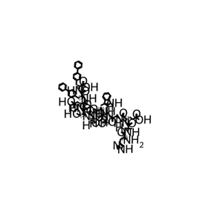 C[C@@H](O)[C@H](NC(=O)CNC(=O)[C@H](CCC(=O)O)NC(=O)C(C)(C)NC(=O)[C@@H](N)Cc1c[nH]cn1)C(=O)N[C@@H](Cc1c[nH]c2ccccc12)C(=O)N[C@H](C(=O)N[C@@H](CO)C(=O)N[C@@H](CC(=O)O)C(=O)N[C@@H](Cc1ccc(-c2ccccc2)cc1)C(=O)N[C@@H](Cc1ccc(-c2ccccc2)cc1)C(=O)O)[C@@H](C)O